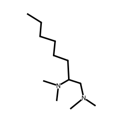 CCCCCCC(CN(C)C)N(C)C